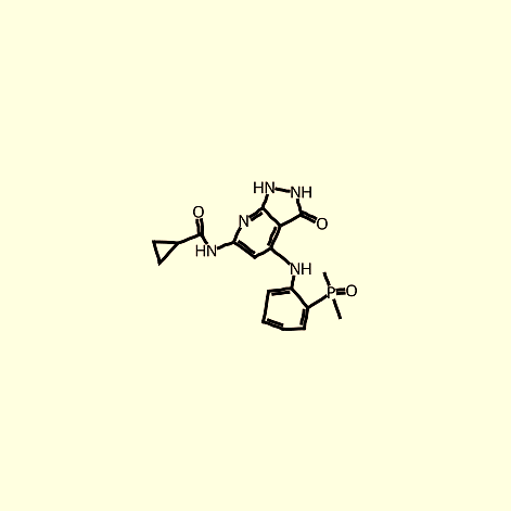 CP(C)(=O)c1ccccc1Nc1cc(NC(=O)C2CC2)nc2[nH][nH]c(=O)c12